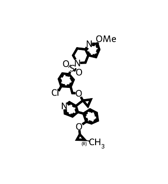 COc1ccc2c(n1)CCN(S(=O)(=O)c1ccc(Cl)c(COC3(c4cnccc4-c4ccccc4OC4C[C@H]4C)CC3)c1)C2